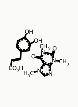 Cn1c(=O)c2c(ncn2C)n(C)c1=O.O=C(O)C=Cc1ccc(O)c(O)c1